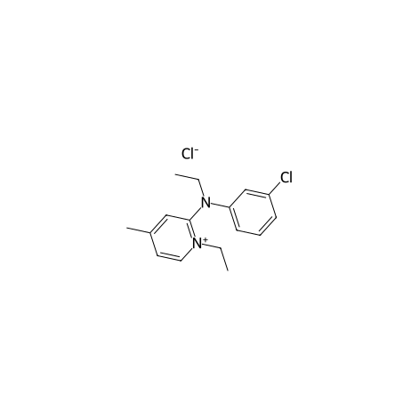 CCN(c1cccc(Cl)c1)c1cc(C)cc[n+]1CC.[Cl-]